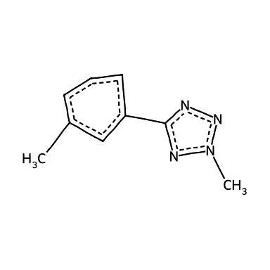 Cc1cccc(-c2nnn(C)n2)c1